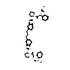 COO/C=N\[C@@H](C(=O)N1CCC[C@H]1c1nc2ccc(CCCc3ccc4[nH]c([C@@H]5CCCN5C(=O)[C@H](NC(=O)OC)c5ccccc5)nc4c3)cc2[nH]1)c1ccccc1